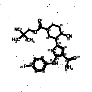 CC(C)(C#N)COC(=O)N1CCC(C#N)C(n2cc(C(N)=O)c(Nc3ccc(F)cc3)n2)C1